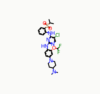 CC(C)S(=O)(=O)c1ccccc1Nc1nc(Nc2ccc(N3CCC(N(C)C)CC3)cc2OC(F)F)ncc1Cl